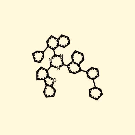 c1ccc(-c2cccc(-c3ccc(-c4nc(-c5c(-c6ccccc6)ccc6ccccc56)nc(-c5cccc6c5oc5ccccc56)n4)c4ccccc34)c2)cc1